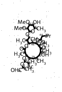 CO[C@@H]1[C@H](O)[C@@H](C)O[C@@H](OC[C@H](C)[C@H]2OC(=O)[C@H](C)[C@@H](O[C@@H](CC(C)=O)O[C@@H](C)C=O)[C@H](C)C[C@@H](C)C[C@](C)(O)C(=O)[C@H](C)[C@H](OC(=O)CC(C)C)[C@H]2C)[C@@H]1OC